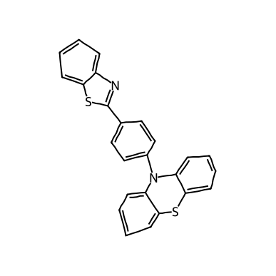 c1ccc2c(c1)Sc1ccccc1N2c1ccc(-c2nc3ccccc3s2)cc1